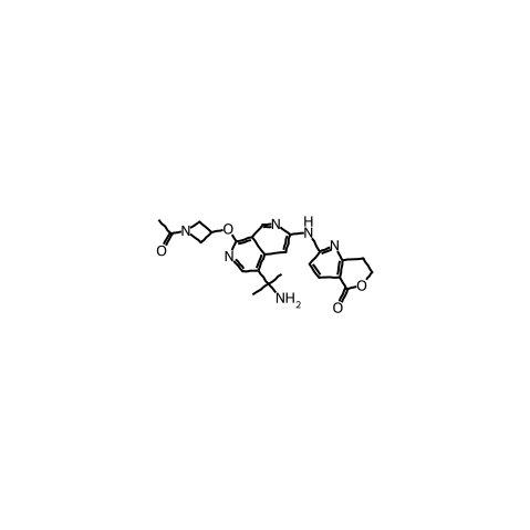 CC(=O)N1CC(Oc2ncc(C(C)(C)N)c3cc(Nc4ccc5c(n4)CCOC5=O)ncc23)C1